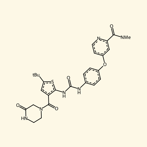 CNC(=O)c1cc(Oc2ccc(NC(=O)Nc3sc(C(C)(C)C)cc3C(=O)N3CCNC(=O)C3)cc2)ccn1